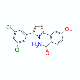 COc1ccc(C(N)=O)c(-c2nc(-c3cc(Cl)cc(Cl)c3)cs2)c1